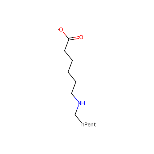 CCCCCCNCCCCCC([O])=O